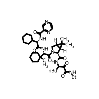 CCCCC(NC(=O)[C@@H]1[C@@H]2[C@H](CN1C(=O)[C@@H](NC(=O)[C@@H](NC(=O)c1cnccn1)C1CCCCC1)C1(C)CCCCC1)C2(C)C)C(=O)C(=O)NCC